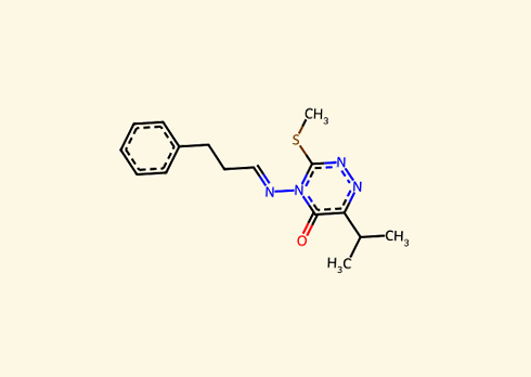 CSc1nnc(C(C)C)c(=O)n1N=CCCc1ccccc1